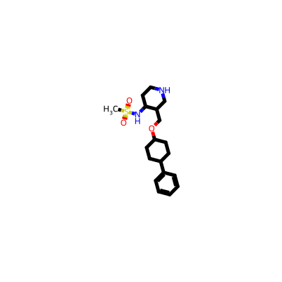 CS(=O)(=O)NC1CCNCC1COC1CCC(c2ccccc2)CC1